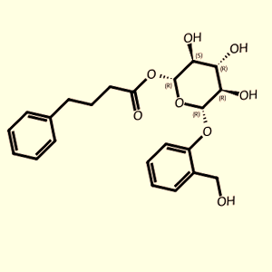 O=C(CCCc1ccccc1)O[C@H]1O[C@@H](Oc2ccccc2CO)[C@H](O)[C@@H](O)[C@@H]1O